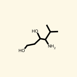 CC(C)C(N)C(O)CCO